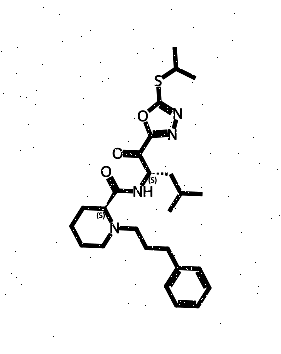 CC(C)C[C@H](NC(=O)[C@@H]1CCCCN1CCCc1ccccc1)C(=O)c1nnc(SC(C)C)o1